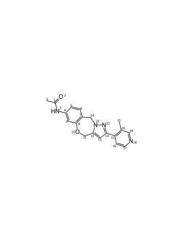 CC(=O)Nc1ccc2c(c1)OCc1cc(-c3ccncc3C)nn1C2